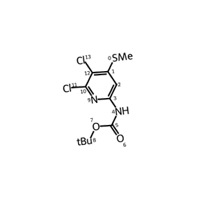 CSc1cc(NC(=O)OC(C)(C)C)nc(Cl)c1Cl